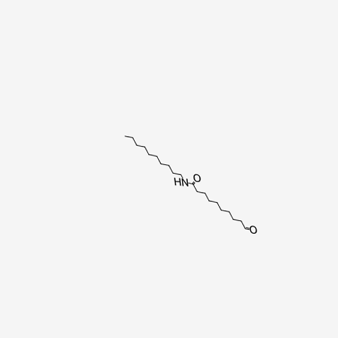 CCCCCCCCCCNC(=O)CCCCCCCCC=O